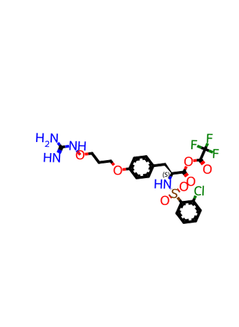 N=C(N)NOCCCOc1ccc(C[C@H](NS(=O)(=O)c2ccccc2Cl)C(=O)OC(=O)C(F)(F)F)cc1